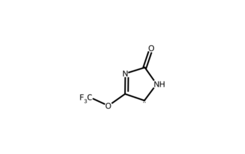 O=C1N=C(OC(F)(F)F)[C]N1